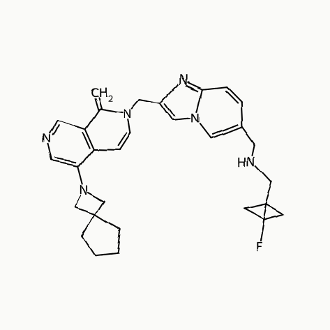 C=C1c2cncc(N3CC4(CCCC4)C3)c2C=CN1Cc1cn2cc(CNCC34CC3(F)C4)ccc2n1